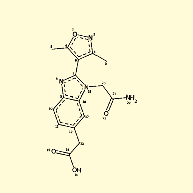 Cc1noc(C)c1-c1nc2ccc(CC(=O)O)cc2n1CC(N)=O